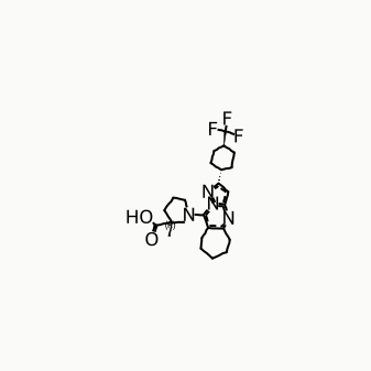 C[C@@]1(C(=O)O)CCCN(c2c3c(nc4cc([C@H]5CC[C@H](C(F)(F)F)CC5)nn24)CCCCC3)C1